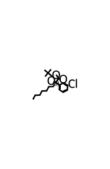 CCCCCCC[C@@]1(c2cccc(Cl)c2)OC(C(C)(C)C)OC1=O